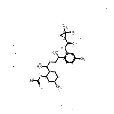 Cc1ccc(C(C)CCC(C)C2CCC(C)CC2OC(=O)C(C)(C)C)c(OC(=O)C2CC2(C)C)c1